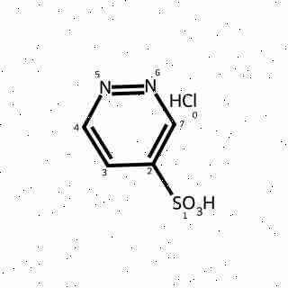 Cl.O=S(=O)(O)c1ccnnc1